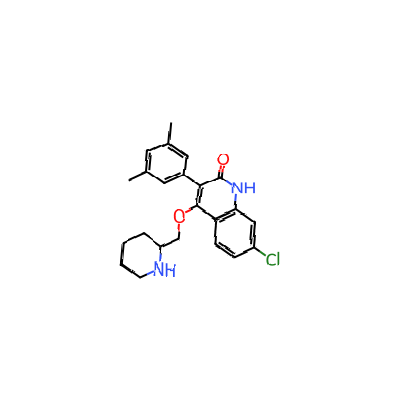 Cc1cc(C)cc(-c2c(OCC3CCCCN3)c3ccc(Cl)cc3[nH]c2=O)c1